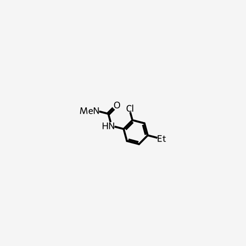 CCc1ccc(NC(=O)NC)c(Cl)c1